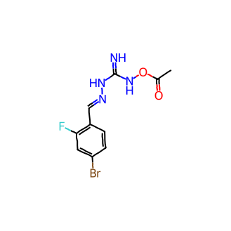 CC(=O)ONC(=N)NN=Cc1ccc(Br)cc1F